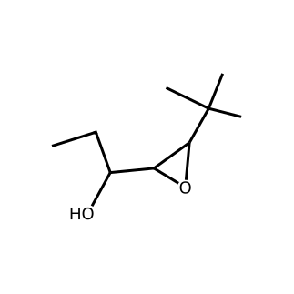 CCC(O)C1OC1C(C)(C)C